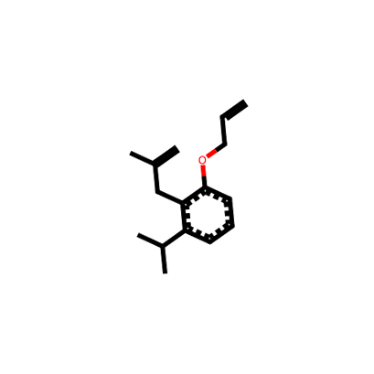 C=CCOc1cccc(C(C)C)c1CC(=C)C